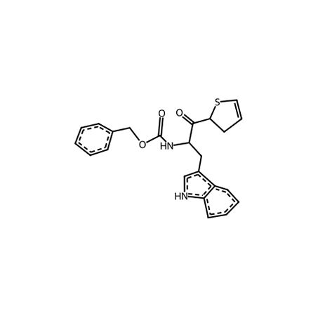 O=C(NC(Cc1c[nH]c2ccccc12)C(=O)C1CC=CS1)OCc1ccccc1